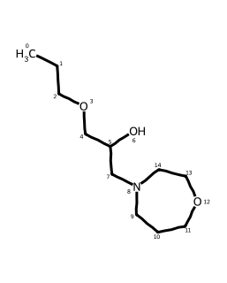 CCCOCC(O)CN1CCCOCC1